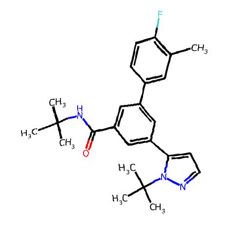 Cc1cc(-c2cc(C(=O)NC(C)(C)C)cc(-c3ccnn3C(C)(C)C)c2)ccc1F